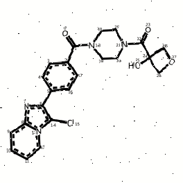 O=C(c1ccc(-c2nc3ccccn3c2Cl)cc1)N1CCN(C(=O)C2(O)COC2)CC1